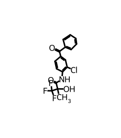 CC(O)(C(=O)Nc1ccc(C(=O)c2ccccc2)cc1Cl)C(F)(F)F